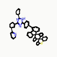 c1ccc(C2=NC(c3cccc(-c4ccccn4)c3)=NC(c3ccc(-c4cccc5c4-c4ccccc4C54c5ccccc5C5(c6ccccc6Sc6ccccc65)c5ccccc54)cc3)N2)cc1